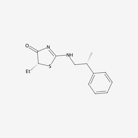 CC[C@H]1SC(NC[C@H](C)c2ccccc2)=NC1=O